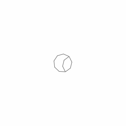 C1CCC2CCC(CC1)CC2